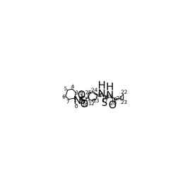 CN(C1CCCCC1)S(=O)(=O)c1ccc(NC(=S)NC(=O)C2CC2)cc1